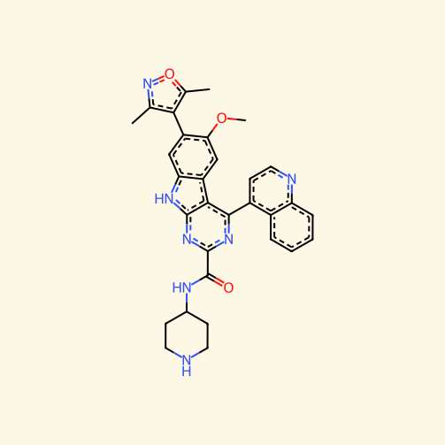 COc1cc2c(cc1-c1c(C)noc1C)[nH]c1nc(C(=O)NC3CCNCC3)nc(-c3ccnc4ccccc34)c12